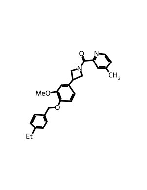 CCc1ccc(COc2ccc(C3CN(C(=O)c4cc(C)ccn4)C3)cc2OC)cc1